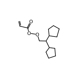 C=CC(=O)OOCC(C1CCCC1)C1CCCC1